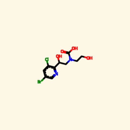 O=C(O)N(CCO)CC(O)c1ncc(Br)cc1Cl